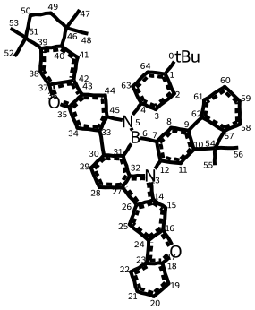 CC(C)(C)c1ccc(N2B3c4cc5c(cc4-n4c6cc7oc8ccccc8c7cc6c6ccc(c3c64)-c3cc4oc6cc7c(cc6c4cc32)C(C)(C)CCC7(C)C)C(C)(C)c2ccccc2-5)cc1